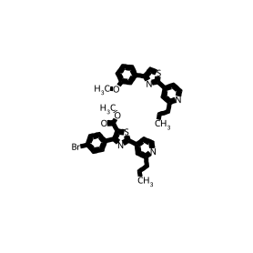 CCCc1cc(-c2nc(-c3ccc(Br)cc3)c(C(=O)OC)s2)ccn1.CCCc1cc(-c2nc(-c3cccc(OC)c3)cs2)ccn1